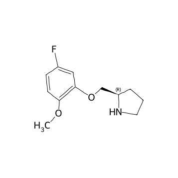 COc1ccc(F)cc1OC[C@H]1CCCN1